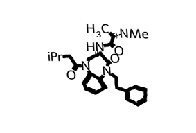 CN[C@@H](C)C(=O)N[C@H]1CN(C(=O)CC(C)C)c2ccccc2N(CCc2ccccc2)C1=O